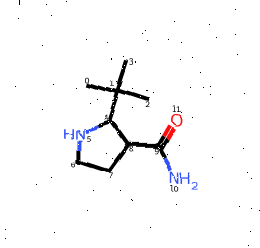 CC(C)(C)C1NCCC1C(N)=O